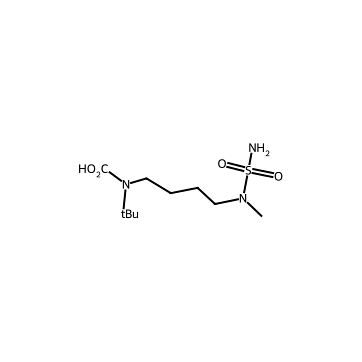 CN(CCCCN(C(=O)O)C(C)(C)C)S(N)(=O)=O